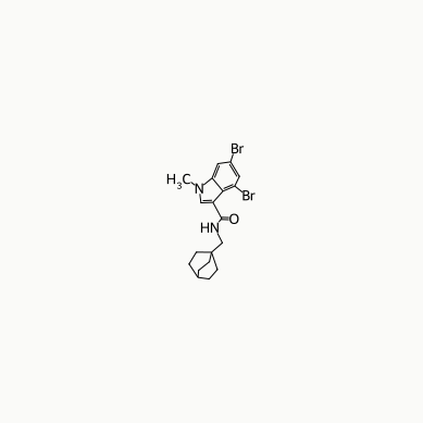 Cn1cc(C(=O)NCC23CCC(CC2)CC3)c2c(Br)cc(Br)cc21